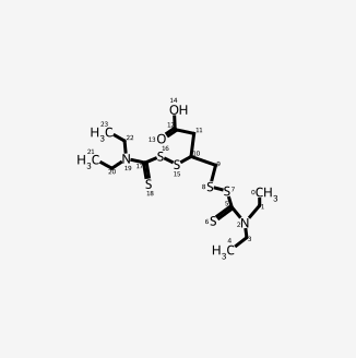 CCN(CC)C(=S)SSCC(CC(=O)O)SSC(=S)N(CC)CC